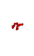 c1ccc(-c2ccc(-c3nc(-c4cccc(-c5cccc(-c6ccc7c(c6)oc6ccccc67)c5)c4)nc(-c4ccc5c(c4)sc4ccccc45)n3)cc2)cc1